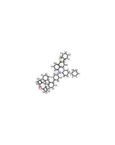 c1ccc(-c2ccc(N(c3ccc(-c4cccc5c4-c4ccccc4C54c5ccccc5Oc5ccccc54)cc3)c3cccc4c3ccc3c5ccccc5sc43)cc2)cc1